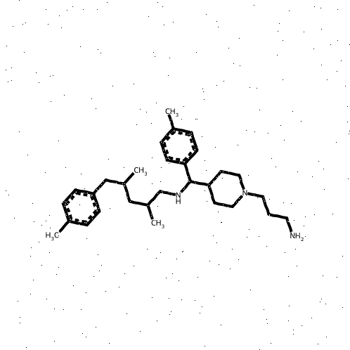 Cc1ccc(CC(C)CC(C)CNC(c2ccc(C)cc2)C2CCN(CCCN)CC2)cc1